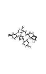 O=C1COC(c2cn(-c3ccc(Cl)cc3)nc2-c2ccc(F)cc2)N1CCc1ccc2nc[nH]c2c1